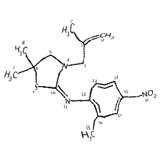 C=C(C)CN1CC(C)(C)SC1=Nc1ccc([N+](=O)[O-])cc1C